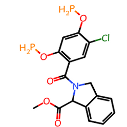 COC(=O)C1c2ccccc2CN1C(=O)c1cc(Cl)c(OP)cc1OP